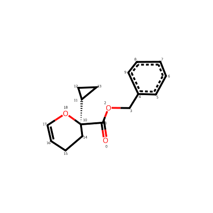 O=C(OCc1ccccc1)[C@@]1(C2CC2)CCC=CO1